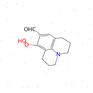 O=Cc1cc2c3c(c1OO)CCCN3CCC2